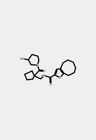 O=C(NCC1(C(=O)N2CCCC(O)C2)CCCC1)c1cc2c(s1)CCCCCC2